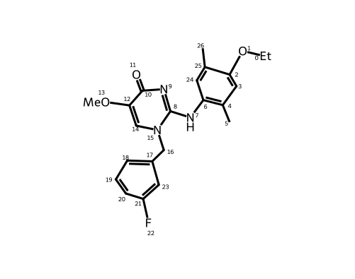 CCOc1cc(C)c(Nc2nc(=O)c(OC)cn2Cc2cccc(F)c2)cc1C